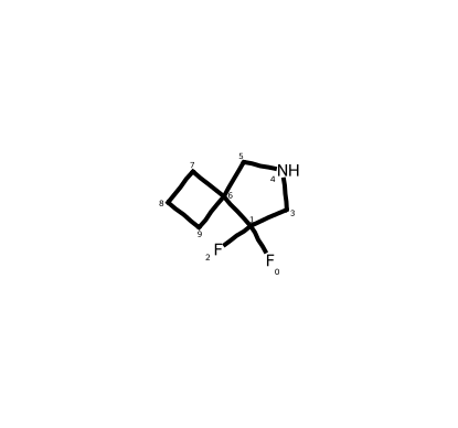 FC1(F)CNCC12CCC2